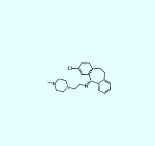 CN1CCN(CC/N=C2/c3ccccc3CCc3ccc(Cl)cc32)CC1